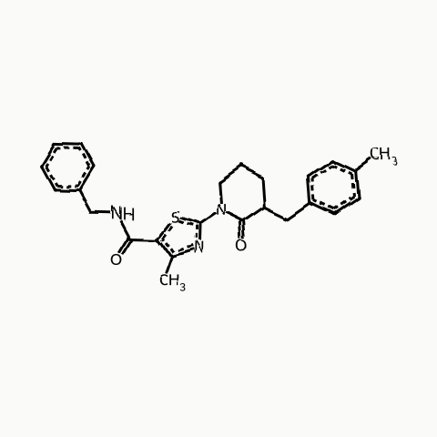 Cc1ccc(CC2CCCN(c3nc(C)c(C(=O)NCc4ccccc4)s3)C2=O)cc1